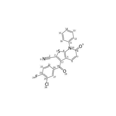 N#Cc1sc2c(ccc(=O)n2-c2ccccc2)c1C(=O)c1ccc(F)c(Cl)c1